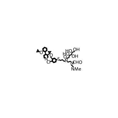 CNCCN(C=O)CCN(CCCSc1ccc(Cl)c(COC2(c3cnccc3-c3ccccc3OC3CC3)CC2)c1)C(=O)CC(O)C(O)C(O)CO